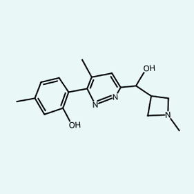 Cc1ccc(-c2nnc(C(O)C3CN(C)C3)cc2C)c(O)c1